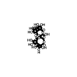 O=C1OCC2O[C@@H](O)C3OC(=O)c4cc(O)c(O)c(O)c4-c4c(cc(O)c(O)c4O)C(=O)OC3[C@@H]2OC(=O)c2cc(O)c(O)c(O)c2-c2cc1c(O)c(O)c2O